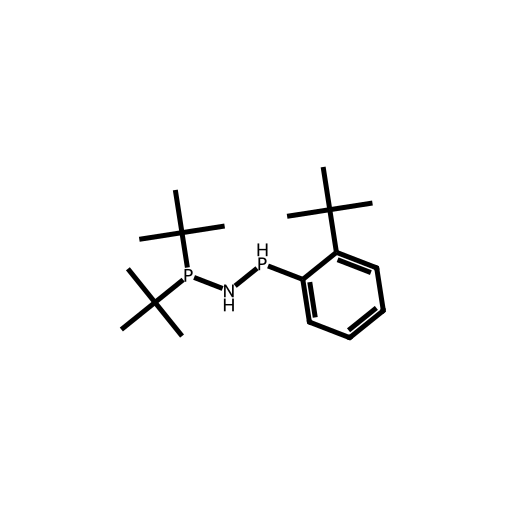 CC(C)(C)c1ccccc1PNP(C(C)(C)C)C(C)(C)C